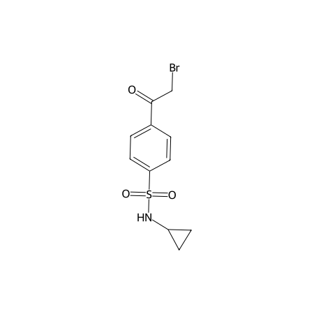 O=C(CBr)c1ccc(S(=O)(=O)NC2CC2)cc1